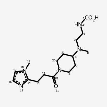 CN(CCNC(=O)O)C1CCN(C(=O)CCc2nccn2C)CC1